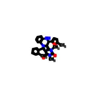 Cc1ccc(C2Nc3ccccc3-n3c(-c4ccccc4C)c4c(=O)n(C)c(=O)n(C)c4c32)o1